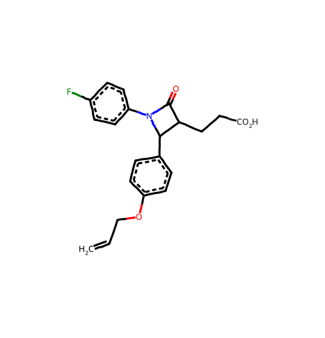 C=CCOc1ccc(C2C(CCC(=O)O)C(=O)N2c2ccc(F)cc2)cc1